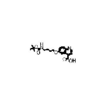 CC(C)(C)OC(=O)NCCCCOc1ccc2nccc(C(=O)O)c2c1